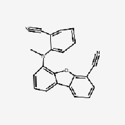 CN(c1ccccc1C#N)c1cccc2c1oc1c(C#N)cccc12